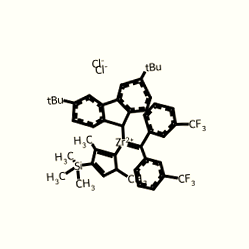 CC1=[C]([Zr+2](=[C](c2cccc(C(F)(F)F)c2)c2cccc(C(F)(F)F)c2)[CH]2c3ccc(C(C)(C)C)cc3-c3cc(C(C)(C)C)ccc32)C(C)C=C1[Si](C)(C)C.[Cl-].[Cl-]